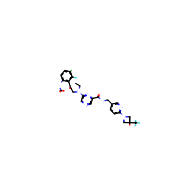 O=C1Nc2ccc(Cl)c(F)c2[C@]2(CCN(c3cncc(C(=O)NCc4ccc(N5CC(O)(C(F)(F)F)C5)nc4)n3)C2)O1